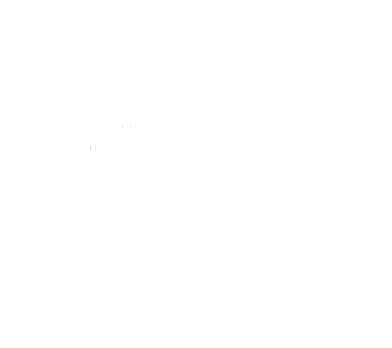 CC(C)(C)OOC(=O)c1ccccc1.O=C(OOC(=O)c1ccccc1)c1ccccc1